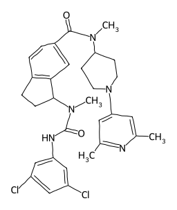 Cc1cc(N2CCC(N(C)C(=O)c3ccc4c(c3)C(N(C)C(=O)Nc3cc(Cl)cc(Cl)c3)CC4)CC2)cc(C)n1